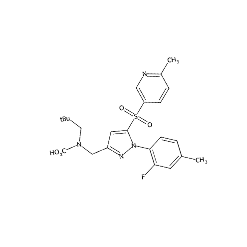 Cc1ccc(-n2nc(CN(CC(C)(C)C)C(=O)O)cc2S(=O)(=O)c2ccc(C)nc2)c(F)c1